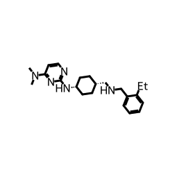 CCc1ccccc1CNC[C@H]1CC[C@@H](Nc2nccc(N(C)C)n2)CC1